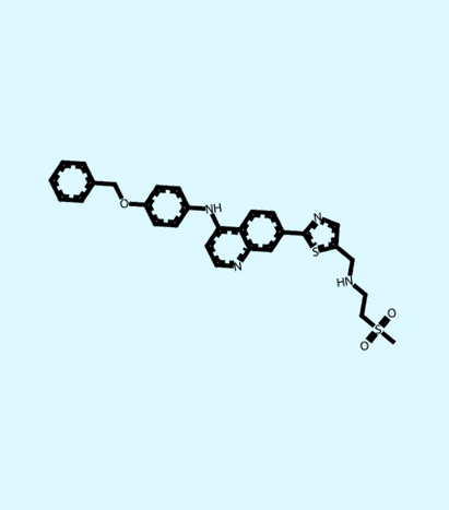 CS(=O)(=O)CCNCc1cnc(-c2ccc3c(Nc4ccc(OCc5ccccc5)cc4)ccnc3c2)s1